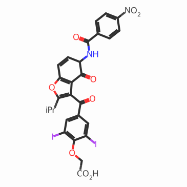 CC(C)c1oc2c(c1C(=O)c1cc(I)c(OCC(=O)O)c(I)c1)C(=O)C(NC(=O)c1ccc([N+](=O)[O-])cc1)C=C2